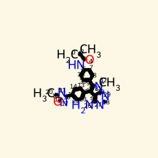 C=C(C)C(=O)Nc1ccc(-c2c(-c3ccc(-c4noc(C)n4)cc3)c3c(N)ncnc3n2C)cc1